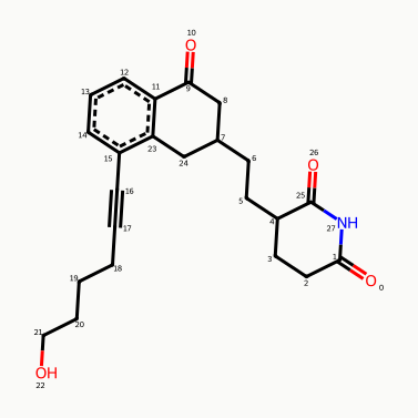 O=C1CCC(CCC2CC(=O)c3cccc(C#CCCCCO)c3C2)C(=O)N1